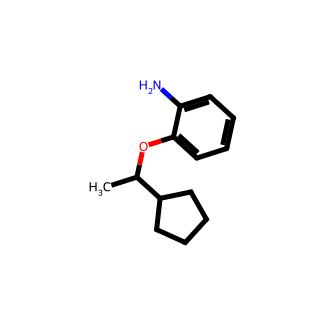 CC(Oc1ccccc1N)C1CCCC1